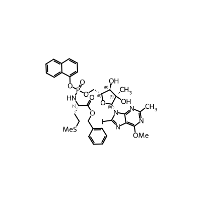 COc1nc(C)nc2c1nc(I)n2[C@@H]1O[C@H](COP(=O)(N[C@@H](CCSC)C(=O)OCc2ccccc2)Oc2cccc3ccccc23)[C@@H](O)[C@@]1(C)O